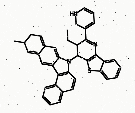 CCC1C(C2=CC=CNC2)=Nc2c(sc3ccccc23)C1n1c2cc3c(cc2c2c4ccccc4ccc21)=CC(C)CC=3